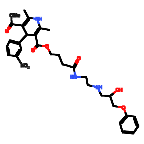 COC(=O)C1=C(C)NC(C)=C(C(=O)OCCCC(=O)NCCNCC(O)COc2ccccc2)C1c1cccc([N+](=O)[O-])c1